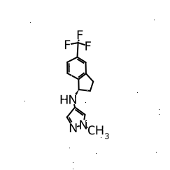 Cn1cc(N[C@@H]2CCc3cc(C(F)(F)F)ccc32)cn1